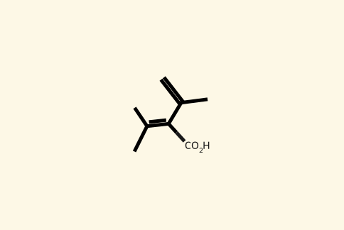 C=C(C)C(C(=O)O)=C(C)C